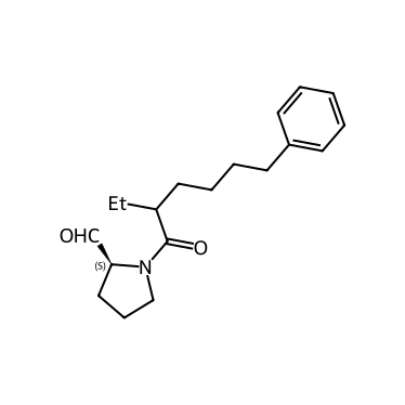 CCC(CCCCc1ccccc1)C(=O)N1CCC[C@H]1C=O